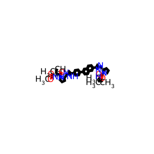 COC(=O)N[C@H](C(=O)N1CCCC1c1ncc(-c2ccc(-c3ccc4cc(-c5cnc([C@@H]6CCCN6C(=O)OC(C)(C)C)[nH]5)ccc4c3)cc2)[nH]1)C(C)C